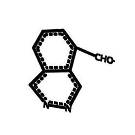 O=[C]c1cccc2cnncc12